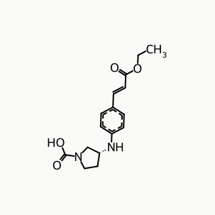 CCOC(=O)/C=C/c1ccc(N[C@@H]2CCN(C(=O)O)C2)cc1